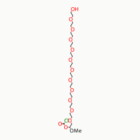 COC(COCCOCCOCCOCCOCCOCCOCCOCCOCCOCCOCCO)OC(=O)Cl